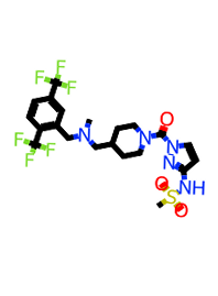 CN(Cc1cc(C(F)(F)F)ccc1C(F)(F)F)CC1CCN(C(=O)n2ccc(NS(C)(=O)=O)n2)CC1